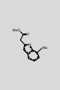 CCCCc1cccc2cc(CC(=O)OC)oc12